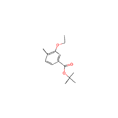 CCOc1cc(C(=O)OC(C)(C)C)ccc1C